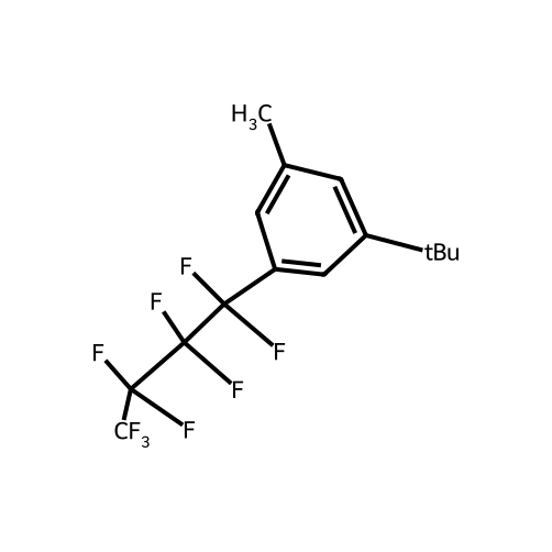 Cc1cc(C(C)(C)C)cc(C(F)(F)C(F)(F)C(F)(F)C(F)(F)F)c1